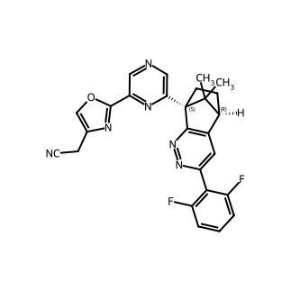 CC1(C)[C@H]2CC[C@]1(c1cncc(-c3nc(CC#N)co3)n1)c1nnc(-c3c(F)cccc3F)cc12